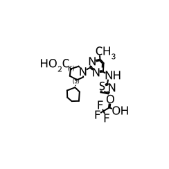 Cc1cc(Nc2nccs2)nc(N2C[C@@H](C(=O)O)C[C@@H](C3CCCCC3)C2)n1.O=C(O)C(F)(F)F